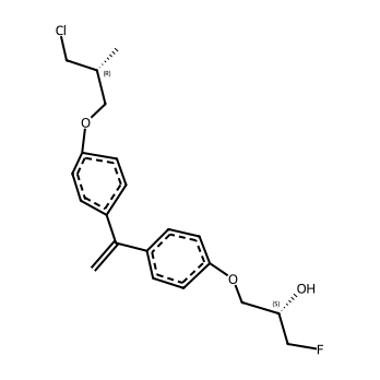 C=C(c1ccc(OC[C@@H](C)CCl)cc1)c1ccc(OC[C@H](O)CF)cc1